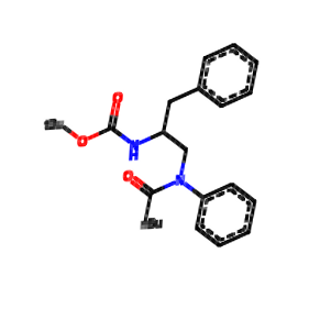 CCCCC(=O)N(CC(Cc1ccccc1)NC(=O)OC(C)(C)C)c1ccccc1